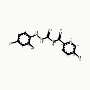 O=C(NNc1ccc(F)cc1F)NC(=O)c1ccc(Cl)cn1